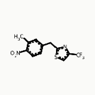 Cc1cc(Cc2nc(C(F)(F)F)cs2)ccc1[N+](=O)[O-]